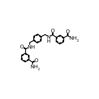 NC(=O)c1cccc(C(=O)NCc2ccc(CNC(=O)c3cccc(C(N)=O)c3)cc2)c1